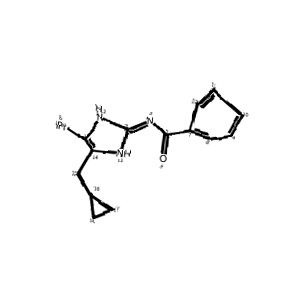 CC(C)c1[nH]/c(=N/C(=O)c2ccccc2)[nH]c1CC1CC1